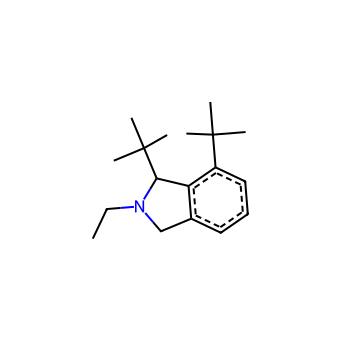 CCN1Cc2cccc(C(C)(C)C)c2C1C(C)(C)C